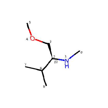 CN[C@H](COC)C(C)C